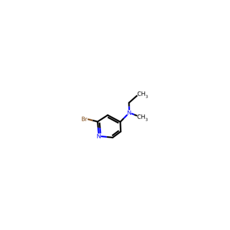 CCN(C)c1ccnc(Br)c1